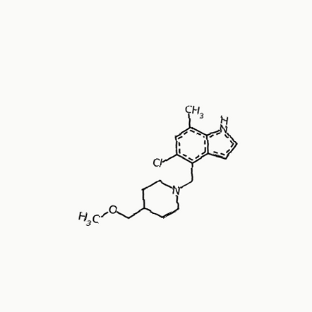 COCC1CCN(Cc2c(Cl)cc(C)c3[nH]ccc23)CC1